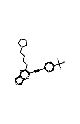 FC(F)(F)c1ccc(C#Cc2nc3cscc3nc2OCCCN2CCCC2)cc1